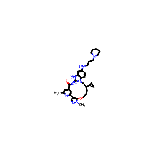 Cc1cc2cc(n1)-c1cnn(C)c1OCCCC(C1CC1)CN1/C(=N/C2=O)Nc2cc(NCCCN3CCCCC3)ccc21